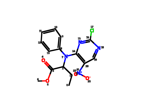 CCC(C(=O)OC)N(c1ccccc1)c1nc(Cl)ncc1[N+](=O)[O-]